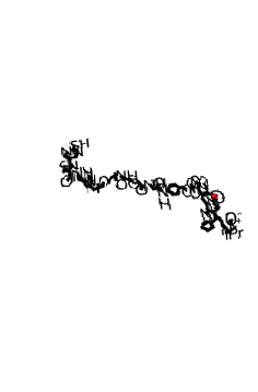 CC(C)N(CCc1c2c(nc3ccccc13)-c1cc3c(c(=O)n1C2)COC(=O)[C@H]3OC(=O)OCc1ccc(NC(=O)CNC(=O)COCC(=O)NC(C)(C)CCOCC(C)(C)Cn2cc(CNC(=O)c3csc(-c4cnc(S)nc4)n3)nn2)cc1)[S+](C)[O-]